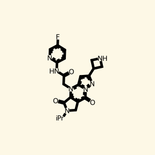 CC(C)N1Cc2c(n(CC(=O)Nc3ccc(F)cn3)c3cc(C4CNC4)nn3c2=O)C1=O